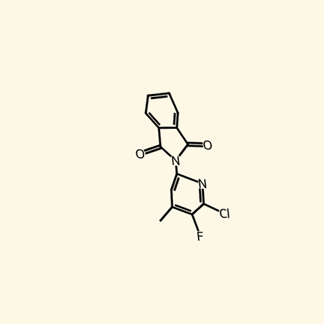 Cc1cc(N2C(=O)c3ccccc3C2=O)nc(Cl)c1F